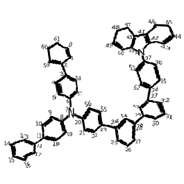 C1=CC(c2ccc(N(c3ccc(-c4ccccc4)cc3)c3ccc(-c4cccc(-c5cccc(-c6ccc(-n7c8c(c9c7C=CCC9)CCC=C8)cc6)c5)c4)cc3)cc2)=CCC1